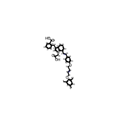 Cc1cc(C)c(OC/C=C/COc2ccc(/C=C/c3cccc4c(Cc5ccccc5C(=O)O)cn(CC(=O)O)c34)cc2)c(C)c1